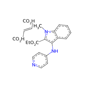 CCOC(=O)c1c(Nc2ccncc2)c2ccccc2n1C.O=C(O)C=CC(=O)O